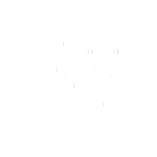 C=CCOc1c(Cl)cc(C(C)(C)C)cc1[Si](CC)(CC)C1C2=CC(C)(C)CCC2=C2C1=c1ccc(C(C)(C)C)cc1=CC2(C)C